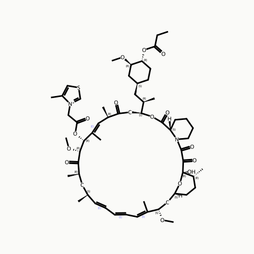 CCC(=O)O[C@@H]1CC[C@@H](C[C@@H](C)[C@@H]2CC(=O)[C@H](C)/C=C(\C)[C@@H](OC(=O)C[n+]3cscc3C)[C@@H](OC)C(=O)[C@H](C)C[C@H](C)/C=C/C=C/C=C(\C)[C@@H](OC)C[C@@H]3CC[C@@H](C)[C@@](O)(O3)C(=O)C(=O)N3CCCC[C@H]3C(=O)O2)C[C@H]1OC